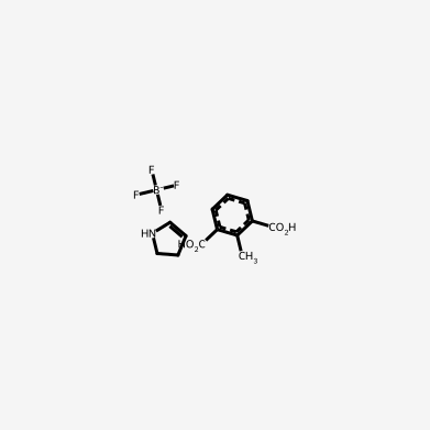 C1=CNCC1.Cc1c(C(=O)O)cccc1C(=O)O.F[B-](F)(F)F